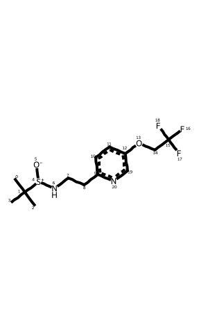 CC(C)(C)[S+]([O-])NCCc1ccc(OCC(F)(F)F)cn1